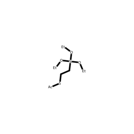 CCO[Si](CCSC(C)=O)(OCC)OCC